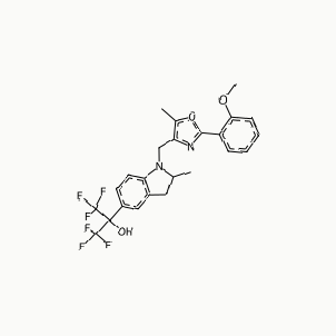 COc1ccccc1-c1nc(CN2c3ccc(C(O)(C(F)(F)F)C(F)(F)F)cc3CC2C)c(C)o1